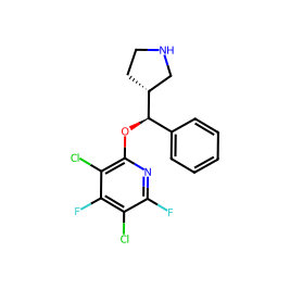 Fc1nc(O[C@H](c2ccccc2)[C@@H]2CCNC2)c(Cl)c(F)c1Cl